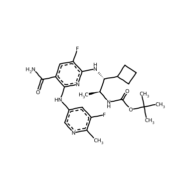 Cc1ncc(Nc2nc(N[C@H](C3CCC3)[C@H](C)NC(=O)OC(C)(C)C)c(F)cc2C(N)=O)cc1F